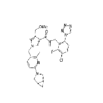 COCc1nn(Cc2ccc(N3CC4CC4C3)nc2C)cc1C(=O)NCc1c(-n2cnnn2)ccc(Cl)c1F